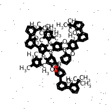 Cc1cc(C)c(N2c3cc4c(cc3B3c5cc6c(cc5N(c5c(C)cc(C)cc5C)c5cc(-c7cccc8c7oc7c(C(C)(C)C)cccc78)cc2c53)Oc2cc(-c3cccc5c3oc3c(C(C)(C)C)cccc35)cc3c2B6c2ccccc2O3)B2c3ccccc3Oc3cc(-c5cccc6c5oc5c(C(C)(C)C)cccc56)cc(c32)O4)c(C)c1